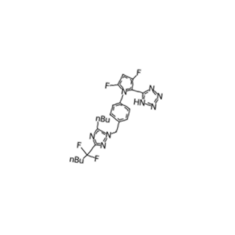 CCCCc1nc(C(F)(F)CCCC)nn1Cc1ccc(-n2c(F)cc(F)c2-c2nnn[nH]2)cc1